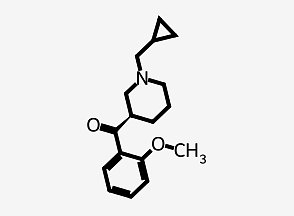 COc1ccccc1C(=O)[C@@H]1CCCN(CC2CC2)C1